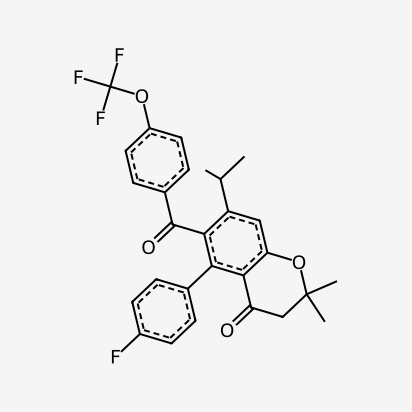 CC(C)c1cc2c(c(-c3ccc(F)cc3)c1C(=O)c1ccc(OC(F)(F)F)cc1)C(=O)CC(C)(C)O2